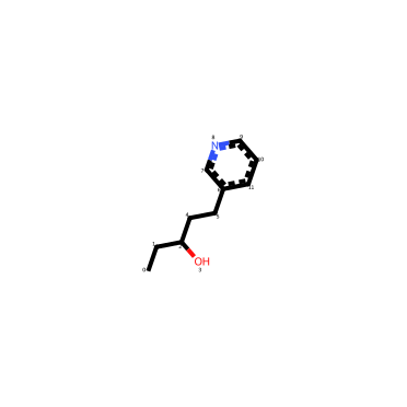 CCC(O)CCc1[c]nccc1